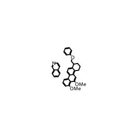 COc1cccc2c1c(OC)cc1c3c(ccc12)C(COc1ccccc1)CCC3.c1ccc2cnccc2c1